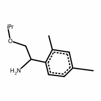 Cc1ccc(C(N)COC(C)C)c(C)c1